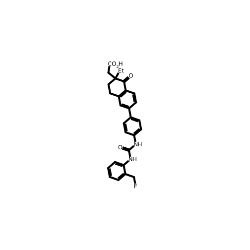 CCC1(CC(=O)O)CCc2cc(-c3ccc(NC(=O)Nc4ccccc4CF)cc3)ccc2C1=O